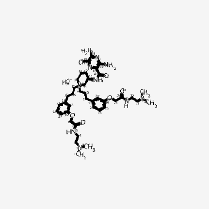 CN(C)CCNC(=O)COc1cccc(CCC[N+]2(CCCc3cccc(OCC(=O)NCCN(C)C)c3)CCCC(NC(=O)c3nc(Cl)c(N)nc3N)C2)c1.[OH-]